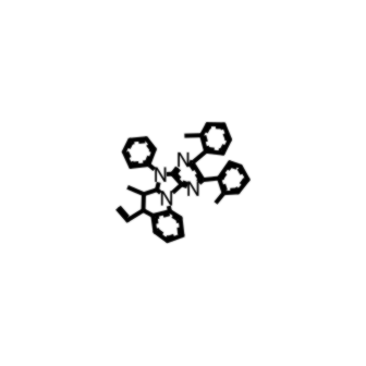 C=CC1c2ccccc2N2c3nc(-c4ccccc4C)c(-c4ccccc4C)nc3N(c3ccccc3)C2C1C